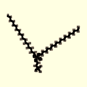 CCCCCCCCCCCCCCCCCCOP(=O)(OCCCCCCCCCCCCCCCCCC)OCC[N+](C)(C)C